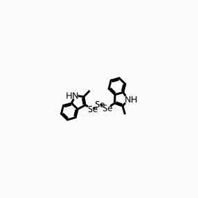 Cc1[nH]c2ccccc2c1[Se][Se][Se]c1c(C)[nH]c2ccccc12